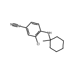 CC1(Nc2ccc([N+]#N)cc2Cl)CCCCC1